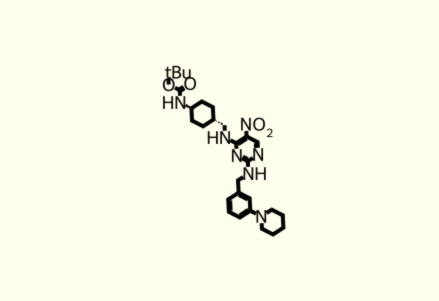 CC(C)(C)OC(=O)N[C@H]1CC[C@H](CNc2nc(NCc3cccc(N4CCCCC4)c3)ncc2[N+](=O)[O-])CC1